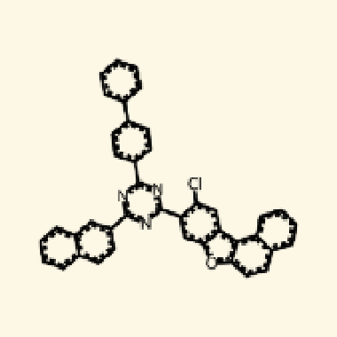 Clc1cc2c(cc1-c1nc(-c3ccc(-c4ccccc4)cc3)nc(-c3ccc4ccccc4c3)n1)oc1ccc3ccccc3c12